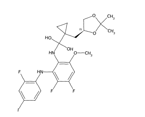 COc1cc(F)c(F)c(Nc2ccc(I)cc2F)c1NC(O)(O)C1(C[C@H]2COC(C)(C)O2)CC1